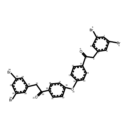 O=C(Cc1cc(Br)cc(Br)c1)c1ccc(Oc2ccc(C(=O)Cc3cc(Br)cc(Br)c3)cc2)cc1